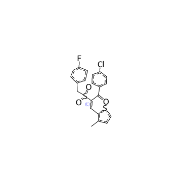 Cc1ccsc1/C=C(\C(=O)c1ccc(Cl)cc1)S(=O)(=O)Cc1ccc(F)cc1